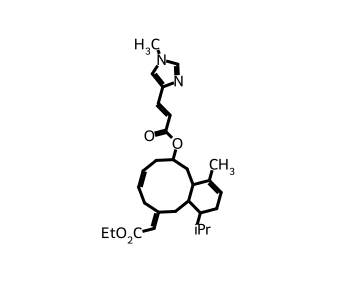 CCOC(=O)C=C1C/C=C\CC(OC(=O)C=Cc2cn(C)cn2)CC2C(C)=CCC(C(C)C)C2C1